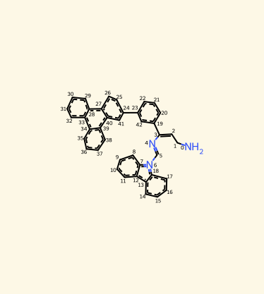 NC/C=C(\N=C\n1c2ccccc2c2ccccc21)c1cccc(-c2ccc3c4ccccc4c4ccccc4c3c2)c1